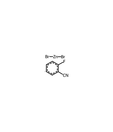 N#Cc1c[c]ccc1F.[Br][Zn][Br]